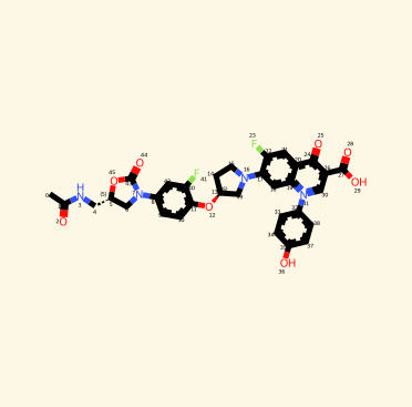 CC(=O)NC[C@H]1CN(c2ccc(O[C@H]3CCN(c4cc5c(cc4F)c(=O)c(C(=O)O)cn5-c4ccc(O)cc4)C3)c(F)c2)C(=O)O1